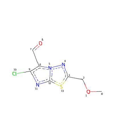 COCc1nn2c(C=O)c(Cl)nc2s1